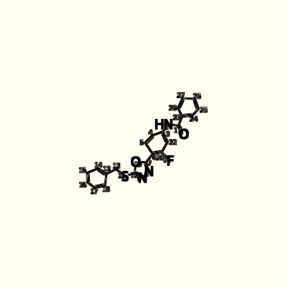 O=C(Nc1ccc(-c2nnc(SCc3ccccc3)o2)c(F)c1)c1ccccc1